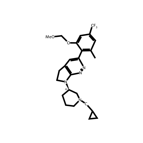 COCOc1cc(C(F)(F)F)cc(C)c1-c1cc2c(nn1)N([C@@H]1CCCN(CC3CC3)C1)CC2